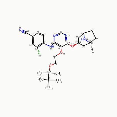 CC(C)(C)[Si](C)(C)OCCOc1c(Nc2ccc(C#N)cc2Cl)ncnc1O[C@H]1CC2CC[C@@H](C1)N2